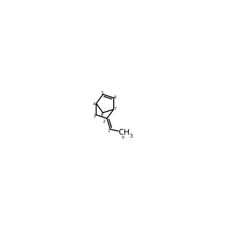 C/C=C1/CC2C=CC1C2